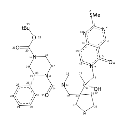 CSc1ncc2c(=O)n(C[C@]3(O)CCN(C(=O)N4CCN(C(=O)OC(C)(C)C)C[C@H]4c4ccccc4)CC34CCCC4)ccc2n1